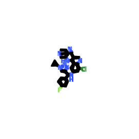 N#Cc1cnc2c(Cl)cc(NC(c3ccc(F)cc3)c3cn(C4CC4)nn3)cc2c1NC1CN2CCC1CC2